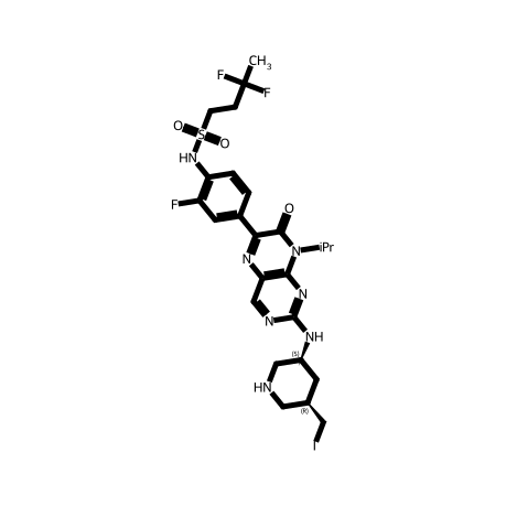 CC(C)n1c(=O)c(-c2ccc(NS(=O)(=O)CCC(C)(F)F)c(F)c2)nc2cnc(N[C@@H]3CNC[C@H](CI)C3)nc21